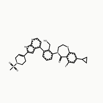 CS(=O)(=O)N1CC=C(c2cc3c(-c4cccc(N5CCOc6cc(C7CC7)cc(F)c6C5=O)c4CO)ccnc3[nH]2)CC1